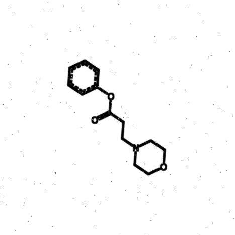 O=C(CCN1CCOCC1)Oc1ccccc1